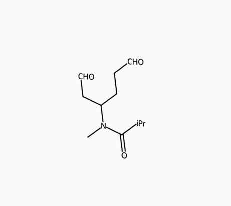 CC(C)C(=O)N(C)C(CC=O)CCC=O